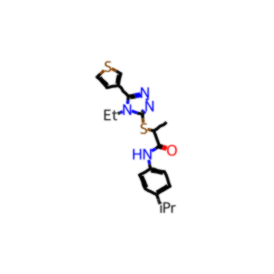 CCn1c(SC(C)C(=O)Nc2ccc(C(C)C)cc2)nnc1-c1ccsc1